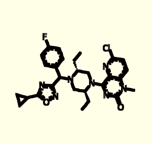 CC[C@H]1CN(C(c2ccc(F)cc2)c2noc(C3CC3)n2)[C@H](CC)CN1c1nc(=O)n(C)c2ccc(Cl)nc12